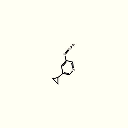 [N-]=[N+]=Nc1cncc(C2CC2)c1